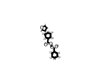 C1CCOC1.O=C(OOC(=O)c1ccccc1)c1ccccc1